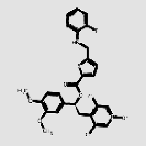 COc1ccc([C@H](Cc2c(Cl)c[n+]([O-])cc2Cl)OC(=O)c2ccc(CNc3ccccc3F)s2)cc1OC